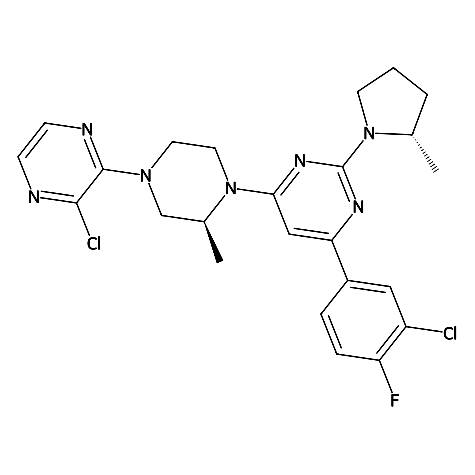 C[C@H]1CN(c2nccnc2Cl)CCN1c1cc(-c2ccc(F)c(Cl)c2)nc(N2CCC[C@@H]2C)n1